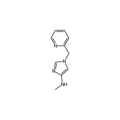 CNc1cn(Cc2ccccn2)cn1